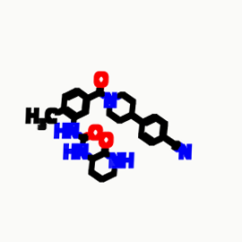 Cc1ccc(C(=O)N2CCC(c3ccc(C#N)cc3)CC2)cc1NC(=O)NC1CCCNC1=O